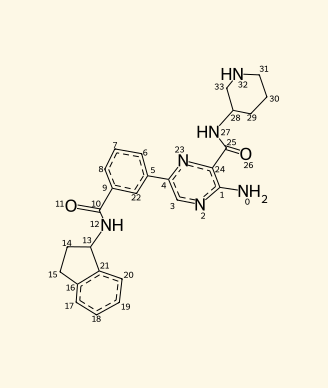 Nc1ncc(-c2cccc(C(=O)NC3CCc4ccccc43)c2)nc1C(=O)NC1CCCNC1